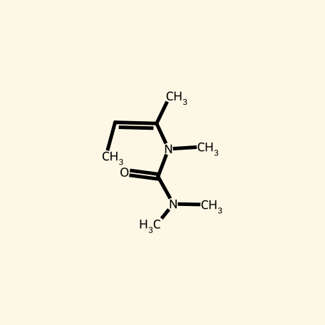 C/C=C(/C)N(C)C(=O)N(C)C